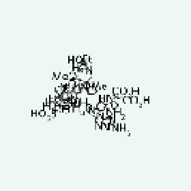 CC[C@]1(O)C[C@H]2C[N@](CCc3c([nH]c4ccccc34)[C@@](C(=O)OC)(c3cc4c(cc3OC)N(C)[C@H]3[C@@](O)(C(N)=O)[C@H](O)[C@]5(CC)C=CCN6CC[C@]43[C@@H]65)C2)C1.CN(Cc1cnc2nc(N)nc(N)c2n1)c1ccc(C(=O)N[C@@H](CCC(=O)O)C(=O)O)cc1.O=S(=O)(O)O